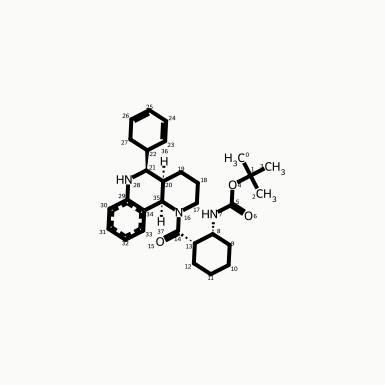 CC(C)(C)OC(=O)N[C@@H]1CCCC[C@@H]1C(=O)N1CCC[C@@H]2[C@H](C3C=CC=CC3)Nc3ccccc3[C@@H]21